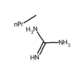 CCCC.N=C(N)N